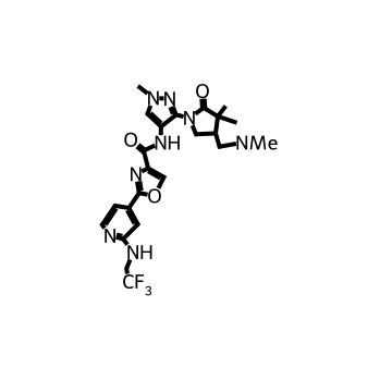 CNCC1CN(c2nn(C)cc2NC(=O)c2coc(-c3ccnc(NCC(F)(F)F)c3)n2)C(=O)C1(C)C